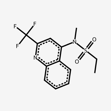 CCS(=O)(=O)N(C)c1cc(C(F)(F)F)nc2ccccc12